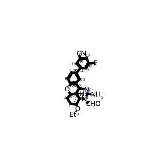 CCOC1CCC2Oc3ccc(-c4cc(F)cc(C#N)c4)cc3C(/N=C(/N)N(C)C=O)[C@H]2C1